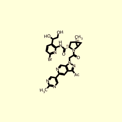 CC(=O)c1nn(CC(=O)N2C3C[C@]3(C)C[C@H]2C(=O)Nc2nc(Br)ccc2C(O)CO)c2cnc(-c3cnc(C)nc3)cc12